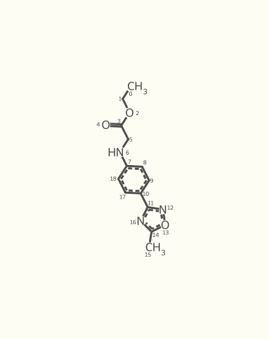 CCOC(=O)CNc1ccc(-c2noc(C)n2)cc1